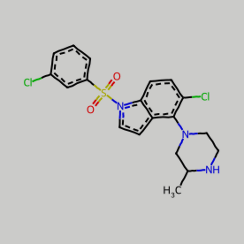 CC1CN(c2c(Cl)ccc3c2ccn3S(=O)(=O)c2cccc(Cl)c2)CCN1